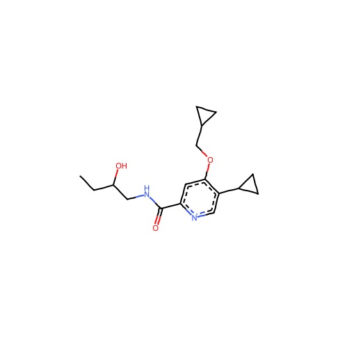 CCC(O)CNC(=O)c1cc(OCC2CC2)c(C2CC2)cn1